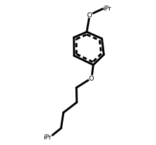 CC(C)CCCCOc1ccc(OC(C)C)cc1